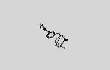 CC(C)OC(Cc1cccc(C#N)c1)ON